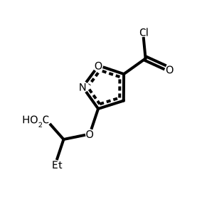 CCC(Oc1cc(C(=O)Cl)on1)C(=O)O